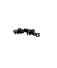 O=C(Nc1ccc(Cl)cc1)c1ccc2[nH]c(-c3ccc(NC(=O)C4CCCCCC4)cc3)cc2c1